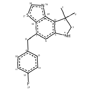 CC1(C)CNc2cc(Cc3ccc(F)cc3)c3scnc3c21